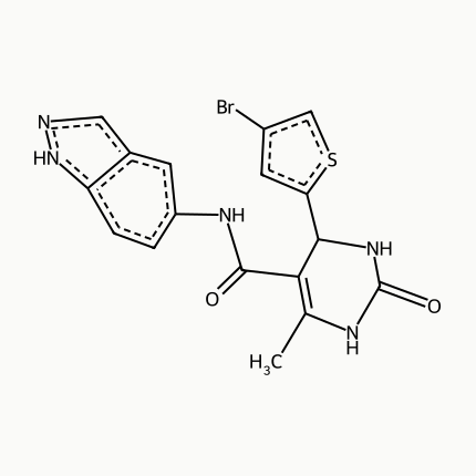 CC1=C(C(=O)Nc2ccc3[nH]ncc3c2)C(c2cc(Br)cs2)NC(=O)N1